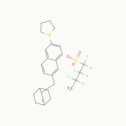 O=S(=O)([O-])C(F)(F)C(F)(F)C(F)(F)C(F)(F)F.c1cc2cc([S+]3CCCC3)ccc2cc1CC1CC2CCC1CC2